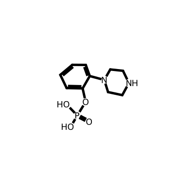 O=P(O)(O)Oc1ccccc1N1CCNCC1